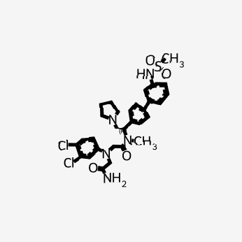 CN(C(=O)CN(CC(N)=O)c1ccc(Cl)c(Cl)c1)[C@@H](CN1CCCC1)c1ccc(-c2cccc(NS(C)(=O)=O)c2)cc1